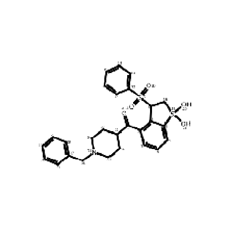 O=C(c1cccc2c1C(S(=O)(=O)c1ccccc1)CS2(O)O)C1CCN(Cc2ccccc2)CC1